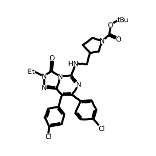 CCn1nc2c(-c3ccc(Cl)cc3)c(-c3ccc(Cl)cc3)nc(NCC3CCN(C(=O)OC(C)(C)C)C3)n2c1=O